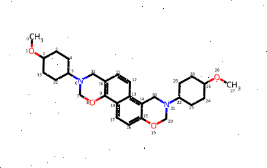 COC1CCC(N2COc3c(ccc4c5c(ccc34)OCN(C3CCC(OC)CC3)C5)C2)CC1